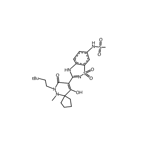 CN1N(CCC(C)(C)C)C(=O)C(C2=NS(=O)(=O)c3cc(NS(C)(=O)=O)ccc3N2)=C(O)C12CCCC2